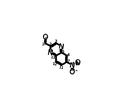 O=[C]c1cnc2cc([N+](=O)[O-])ccc2n1